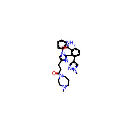 CN1CCCN(C(=O)CCc2cn(-c3ccccc3)c(-c3c(C(N)=O)cccc3-c3cnn(C)c3)n2)CC1